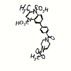 C[C@H]1CN(C(=O)O)c2cc(-c3ccc(C(=O)N4CCN(S(C)(=O)=O)CC4)cc3)ccc2N1C(=O)O